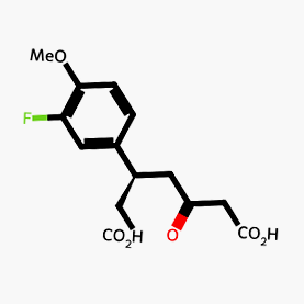 COc1ccc([C@H](CC(=O)O)CC(=O)CC(=O)O)cc1F